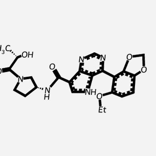 CCOc1ccc2c(c1-c1ncnc3c(C(=O)N[C@@H]4CCN(C(=O)[C@H](C)O)C4)c[nH]c13)OCO2